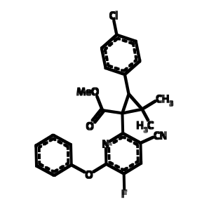 COC(=O)C1(c2nc(Oc3ccccc3)c(F)cc2C#N)C(c2ccc(Cl)cc2)C1(C)C